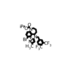 Cc1cc(N(Cc2cc(C(F)(F)F)cc(C(F)(F)F)c2)C2CCCN(C(=O)OC(C)C)c3ccc(Br)cc32)sn1